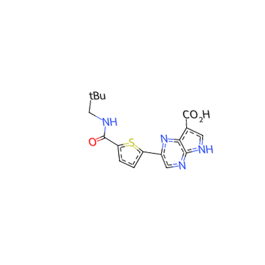 CC(C)(C)CNC(=O)c1ccc(-c2cnc3[nH]cc(C(=O)O)c3n2)s1